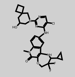 Cn1c(=O)c2c(c3cc(Nc4nc(N5CC(O)CC6(CCC6)C5)ncc4Cl)ccc31)NC(C1CC1)C(F)(F)CO2